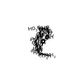 CC(C)[C@H](NC(=O)[C@H](Cc1ccccc1)NC(=O)[C@H](C)NC(=O)[C@@H](NC(=O)[C@@H]1CCCN1C(=O)[C@H](CCC(=O)O)NC(=O)[C@H](C)NC(=O)[C@H](C)NC(=O)[C@@H]1CCCN1)C(C)C)C(=O)N[C@@H](CCCCN)C(=O)O